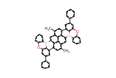 Cc1cc2c3c(cc4c(C)cc5c6c(cc1c3c46)B1c3ccccc3Oc3cc(-c4ccccc4)cc-5c31)B1c3ccccc3Oc3cc(-c4ccccc4)cc-2c31